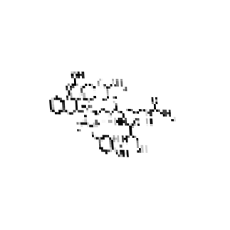 NC(=O)CC[C@H](NC(=O)[C@H](CCCNC(N)=O)NC(=O)[C@@H](N)CS)C(=O)N[C@@H](Cc1ccc(O)cc1)C(=O)N[C@@H](Cc1ccccc1)C(=O)N1CCCC[C@H]1C(=O)O